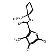 CCOC(=O)C1(NC(=O)c2sc(Cl)c(Cl)c2C)CCC1